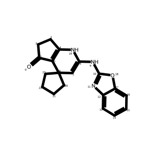 O=C1CCC2=C1C1(C=C(Nc3nc4ccccc4o3)N2)CCCC1